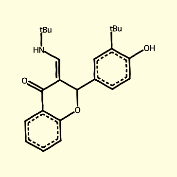 CC(C)(C)N/C=C1\C(=O)c2ccccc2OC1c1ccc(O)c(C(C)(C)C)c1